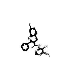 C[C@H](Nc1ncnc(N)c1C#N)c1cc2ccc(F)cc2nc1-c1ccccc1